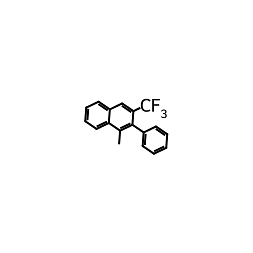 Cc1c(-c2ccccc2)c(C(F)(F)F)cc2ccccc12